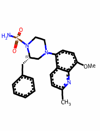 COc1ccc(N2CCN(S(N)(=O)=O)[C@@H](Cc3ccccc3)C2)c2ccc(C)nc12